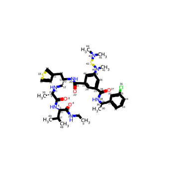 CCNC(=O)[C@@H](NC(=O)[C@H](C)NC[C@H](Cc1ccsc1)NC(=O)c1cc(C(=O)N[C@H](C)c2cccc(Cl)c2)cc(N(C)SN(C)C)c1)C(C)C